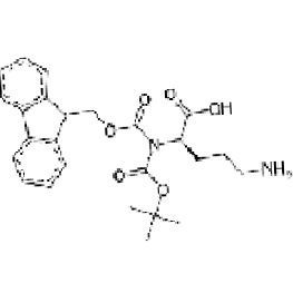 CC(C)(C)OC(=O)N(C(=O)OCC1c2ccccc2-c2ccccc21)[C@H](CCCN)C(=O)O